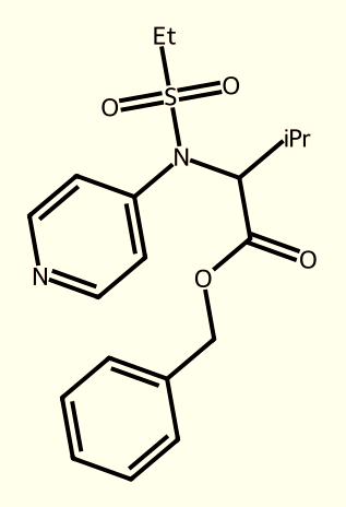 CCS(=O)(=O)N(c1ccncc1)C(C(=O)OCc1ccccc1)C(C)C